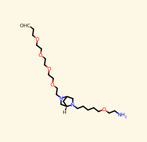 NCCOCCCCCN1CC2C[C@H]1CN2CCOCCOCCOCCOCCC=O